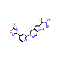 CCN(CC)C(=O)c1cc2cc(-c3cc(-c4noc(C(F)(F)F)n4)ccn3)ncc2[nH]1